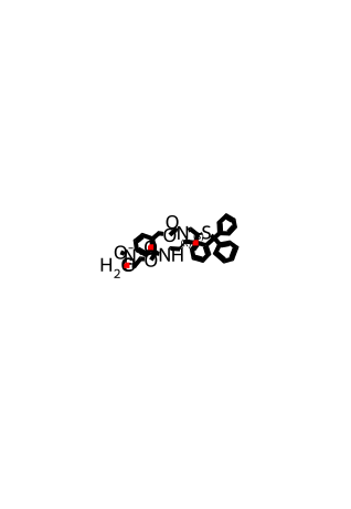 C=CCOC(=O)NCC[C@@H]1C[C@H](SC(c2ccccc2)(c2ccccc2)c2ccccc2)CN1C(=O)OCc1ccc([N+](=O)[O-])cc1